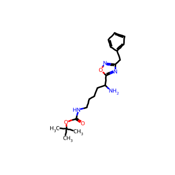 CC(C)(C)OC(=O)NCCCCC(N)c1nc(Cc2ccccc2)no1